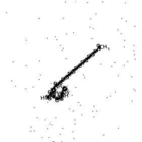 CC(=O)SCCOCCOCCOCCOCCOCCOCCOCCOCCOCCOCCOCCOCCC(=O)NCc1ccc(NC(=O)[C@H](CC(=O)O)NC(=O)CNC(=O)c2csc(NC(=O)NCc3ccccc3)n2)cc1